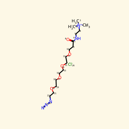 C[N+](C)(C)CCNC(=O)CCOCCOCCOCCOCCN=[N+]=[N-].[Cl-]